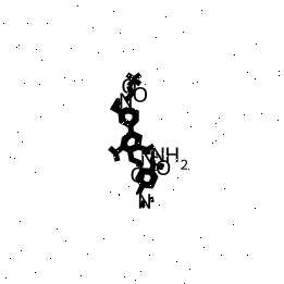 CC(C)c1cc(-c2ccc3c(ccn3C(=O)OC(C)(C)C)c2)cc(C(C)C)c1CC(=O)N=S(N)(=O)c1ccc(CN(C)C)cc1